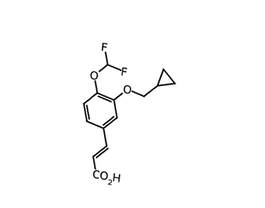 O=C(O)C=Cc1ccc(OC(F)F)c(OCC2CC2)c1